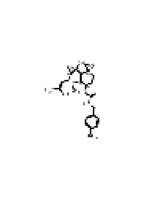 CO[C@H]1C(C2(C)O[C@@H]2CC=C(C)C)[C@]2(CC[C@H]1OC(=O)NCc1ccc(N)cc1)CO2